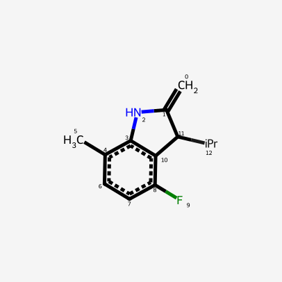 C=C1Nc2c(C)ccc(F)c2C1C(C)C